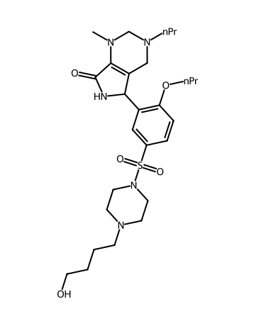 CCCOc1ccc(S(=O)(=O)N2CCN(CCCCO)CC2)cc1C1NC(=O)C2=C1CN(CCC)CN2C